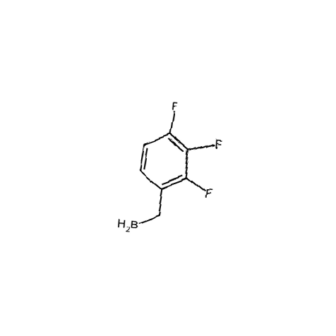 BCc1ccc(F)c(F)c1F